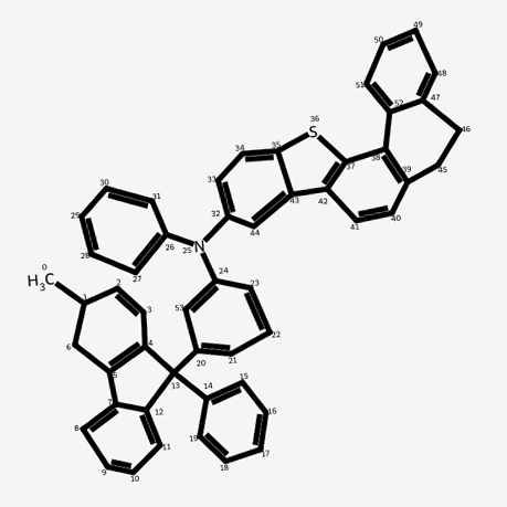 CC1C=CC2=C(C1)c1ccccc1C2(c1ccccc1)c1cccc(N(c2ccccc2)c2ccc3sc4c5c(ccc4c3c2)CCc2ccccc2-5)c1